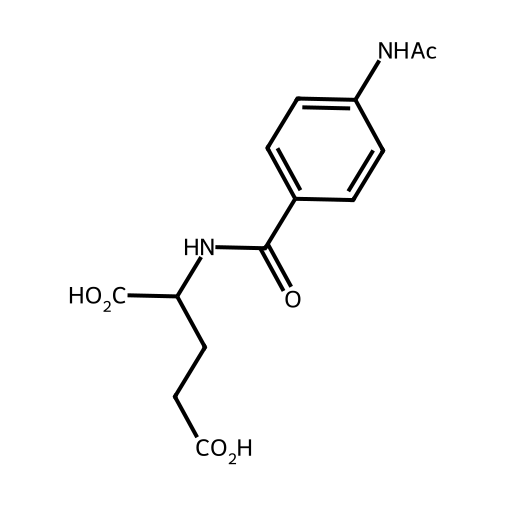 CC(=O)Nc1ccc(C(=O)NC(CCC(=O)O)C(=O)O)cc1